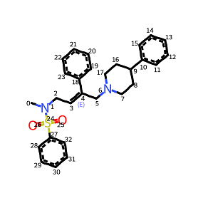 CN(C/C=C(/CN1CCC(c2ccccc2)CC1)c1ccccc1)S(=O)(=O)c1ccccc1